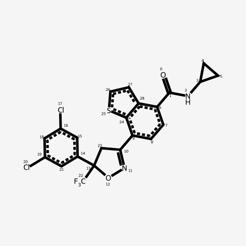 O=C(NC1CC1)c1ccc(C2=NOC(c3cc(Cl)cc(Cl)c3)(C(F)(F)F)C2)c2sccc12